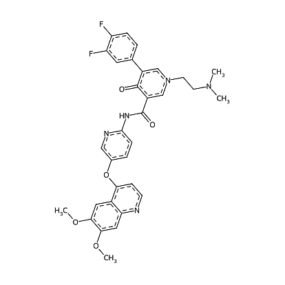 COc1cc2nccc(Oc3ccc(NC(=O)c4cn(CCN(C)C)cc(-c5ccc(F)c(F)c5)c4=O)nc3)c2cc1OC